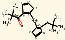 CC(C)(C)CC1=[C]([Fe][C]2=C(C(=O)C(C)(C)C)C=CC2)CC=C1